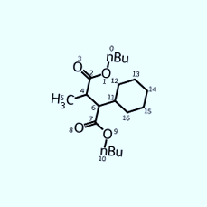 CCCCOC(=O)C(C)C(C(=O)OCCCC)C1CCCCC1